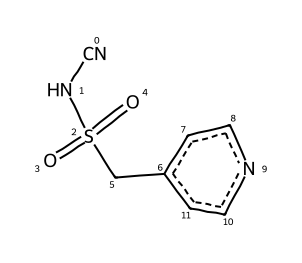 N#CNS(=O)(=O)Cc1ccncc1